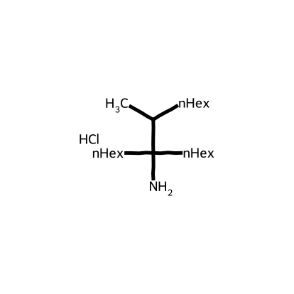 CCCCCCC(C)C(N)(CCCCCC)CCCCCC.Cl